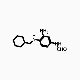 Nc1cc(NC=O)ccc1NCC1CCCCC1